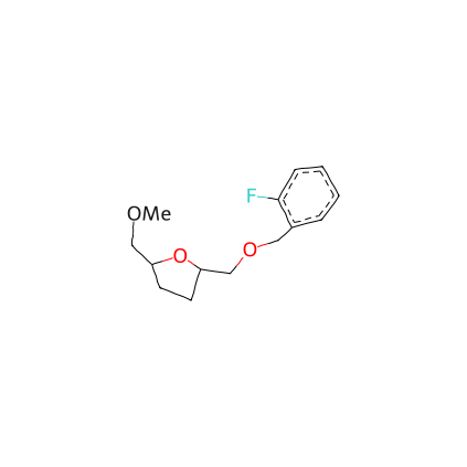 COCC1CCC(COCc2ccccc2F)O1